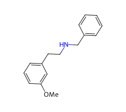 COc1cccc(CCNCc2ccccc2)c1